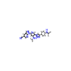 CC(C)Nc1cc(-n2ncc3cc(C#N)cnc32)ncc1-n1cc([C@H]2CC[C@@H](NC(C)C)CC2)nn1